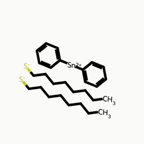 CCCCCCCC[S-].CCCCCCCC[S-].c1cc[c]([Sn+2][c]2ccccc2)cc1